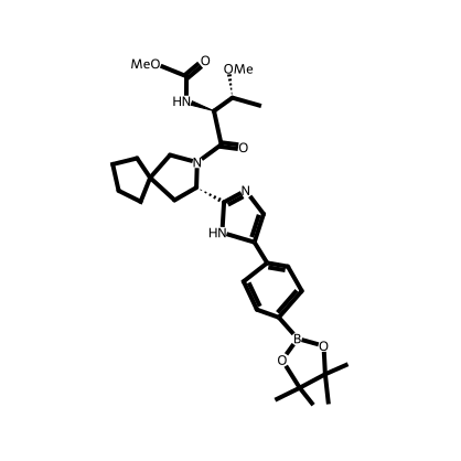 COC(=O)N[C@H](C(=O)N1CC2(CCCC2)C[C@H]1c1ncc(-c2ccc(B3OC(C)(C)C(C)(C)O3)cc2)[nH]1)[C@@H](C)OC